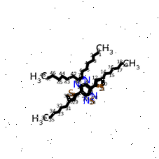 CCCCCCCc1nc2c(-c3cc(CCCCCC)cs3)c3nsnc3c(-c3cc(CCCCCC)cs3)c2nc1CCCCCCC